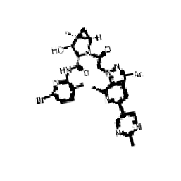 CC(=O)c1nn(CC(=O)N2[C@H](C(=O)Nc3nc(Br)ccc3C)[C@@H](O)[C@@]3(C)C[C@@H]23)c2c(C)nc(-c3cnc(C)nc3)cc12